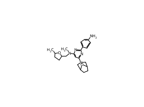 CC1CCC(CN(C)c2cc(N3CC4CCC(C3)O4)nc(-c3ccc(N)cc3)n2)O1